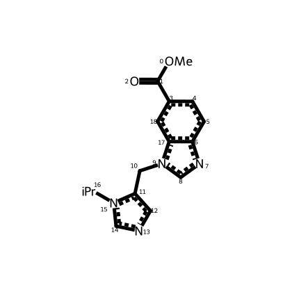 COC(=O)c1ccc2ncn(Cc3cncn3C(C)C)c2c1